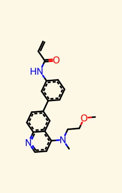 C=CC(=O)Nc1cccc(-c2ccc3nccc(N(C)CCOC)c3c2)c1